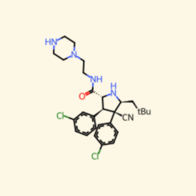 CC(C)(C)C[C@@H]1N[C@@H](C(=O)NCCN2CCNCC2)[C@H](c2cccc(Cl)c2)[C@@]1(C#N)c1ccc(Cl)cc1